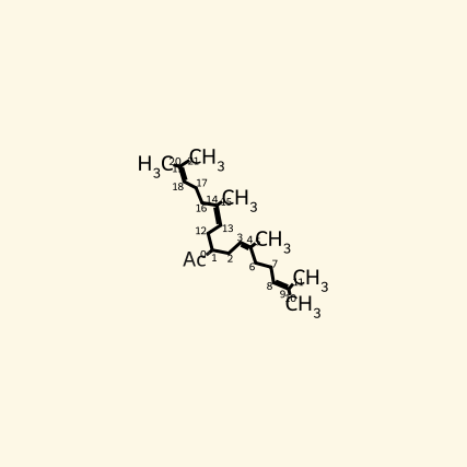 CC(=O)C(CC=C(C)CCC=C(C)C)CC=C(C)CCC=C(C)C